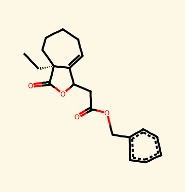 CC[C@]12CCCCC=C1C(CC(=O)OCc1ccccc1)OC2=O